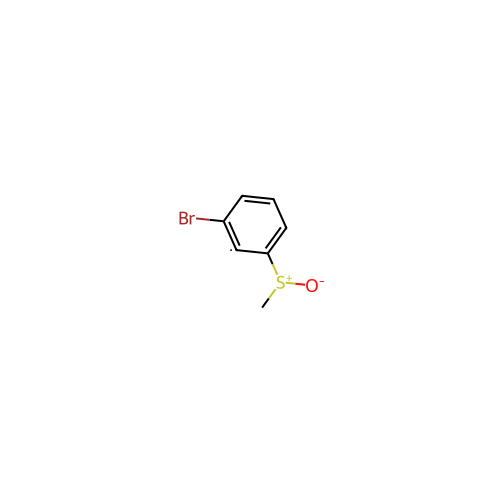 C[S+]([O-])c1[c]c(Br)ccc1